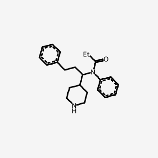 CCC(=O)N(c1ccccc1)C(CCc1ccccc1)C1CCNCC1